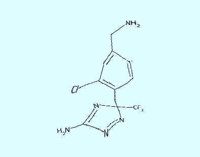 NCc1[c]cc(C2(C(F)(F)F)N=NC(N)=N2)c(Cl)c1